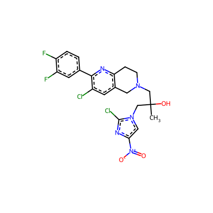 CC(O)(CN1CCc2nc(-c3ccc(F)c(F)c3)c(Cl)cc2C1)Cn1cc([N+](=O)[O-])nc1Cl